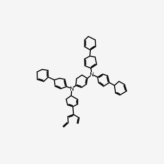 C=C/C=C(\C=C)C1=CCC(N(C2=CCC(C3=CCCC=C3)C=C2)C2=CC=C(N(C3=CCC(C4=CCCC=C4)C=C3)c3ccc(C4C=CC=CC4)cc3)CC2)C=C1